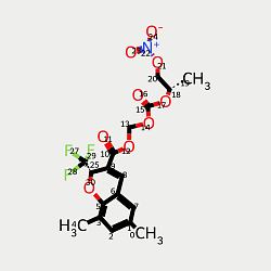 Cc1cc(C)c2c(c1)C=C(C(=O)OCOC(=O)O[C@@H](C)CO[N+](=O)[O-])[C@@H](C(F)(F)F)O2